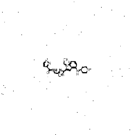 CN1CCC(Nc2cccc3c2cc(-c2noc(CNC(=O)c4ccn(C)n4)n2)n3CC(F)(F)F)CC1